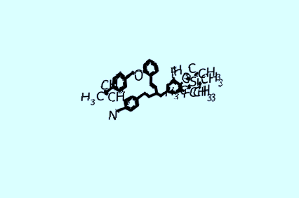 CC(C)[Si](Oc1c(F)cc(CC(C=Cc2ccccc2OCc2ccc(C(C)(C)C)cc2)CCc2ccc(C#N)cc2)cc1F)(C(C)C)C(C)C